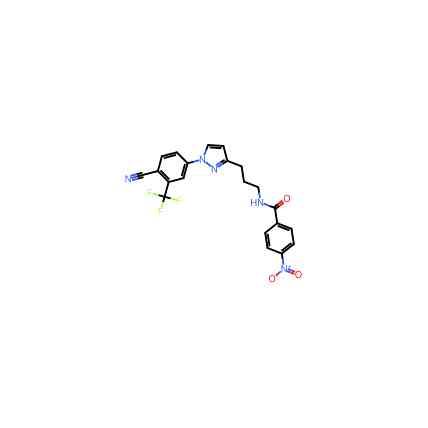 N#Cc1ccc(-n2ccc(CCCNC(=O)c3ccc([N+](=O)[O-])cc3)n2)cc1C(F)(F)F